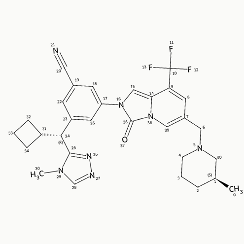 C[C@H]1CCCN(Cc2cc(C(F)(F)F)c3cn(-c4cc(C#N)cc([C@H](c5nncn5C)C5CCC5)c4)c(=O)n3c2)C1